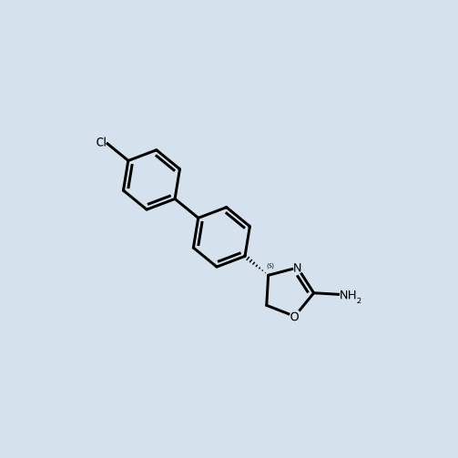 NC1=N[C@@H](c2ccc(-c3ccc(Cl)cc3)cc2)CO1